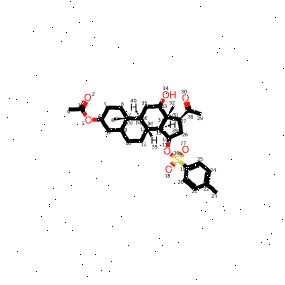 CC(=O)OC1CC[C@@]2(C)C(CC[C@H]3[C@@H]4C(OS(=O)(=O)c5ccc(C)cc5)C[C@H](C(C)=O)[C@@]4(C)C(O)C[C@@H]32)C1